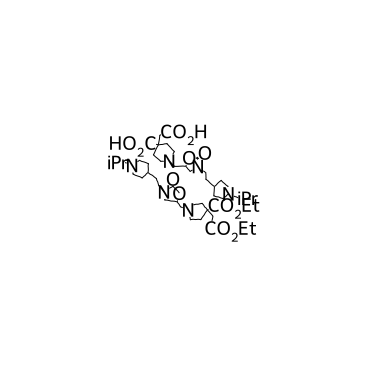 CC(C)N1CCC(CCN2CC(CN3CCC(CC(=O)O)(C(=O)O)CC3)OC2=O)CC1.CCOC(=O)CC1(C(=O)OCC)CCN(CC2CN(CCC3CCN(C(C)C)CC3)C(=O)O2)CC1